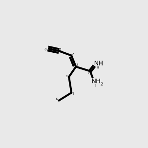 C#C/C=C(\CCC)C(=N)N